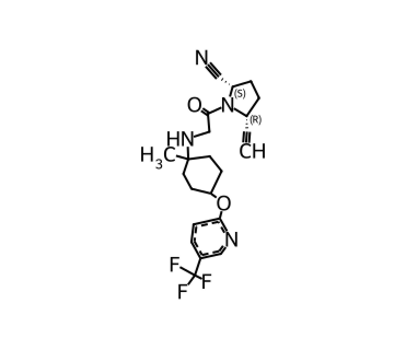 C#C[C@H]1CC[C@@H](C#N)N1C(=O)CNC1(C)CCC(Oc2ccc(C(F)(F)F)cn2)CC1